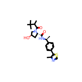 Cc1ncsc1-c1ccc([C@H](C)NC(=O)[C@@H]2C[C@@H](O)CN2C(=O)C(C)C(C)(C)C)cc1